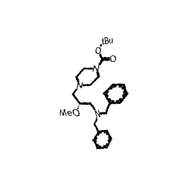 CO[C@H](CN1CCN(C(=O)OC(C)(C)C)CC1)CN(Cc1ccccc1)Cc1ccccc1